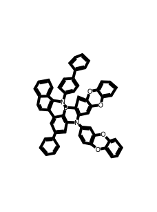 c1ccc(-c2ccc(N3B4c5cc6c(cc5N(c5ccc7c(c5)Oc5ccccc5O7)c5cc(-c7ccccc7)cc(c54)-c4ccc5ccccc5c43)Oc3ccccc3O6)cc2)cc1